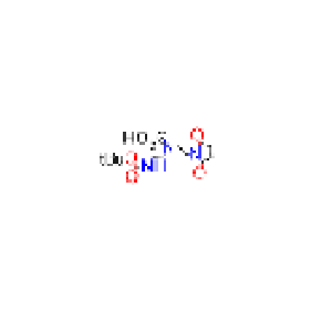 CC(C)(C)OC(=O)NCCN(CCN1C(=O)C=CC1=O)C(=O)O